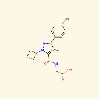 Cc1c(-c2ccc(C#N)cc2)nn(C2CCC2)c1C(=O)NC[C@@H](C)O